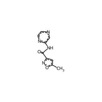 Cc1cc(C(=O)Nc2cnccn2)no1